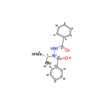 CCCCCC[C@H](N(NC(=O)c1ccccc1)C(=O)c1ccccc1)C(C)(C)C